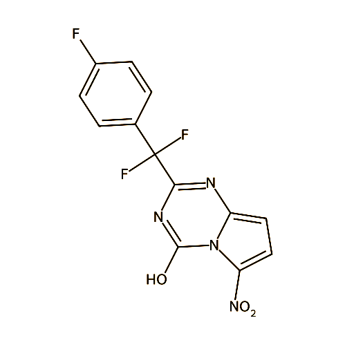 O=[N+]([O-])c1ccc2nc(C(F)(F)c3ccc(F)cc3)nc(O)n12